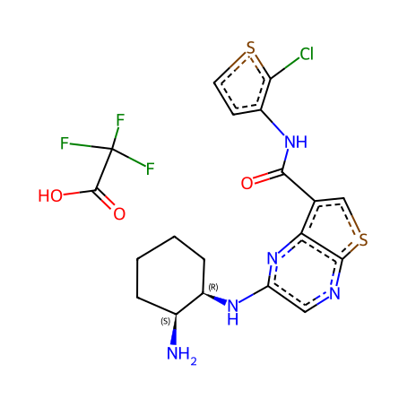 N[C@H]1CCCC[C@H]1Nc1cnc2scc(C(=O)Nc3ccsc3Cl)c2n1.O=C(O)C(F)(F)F